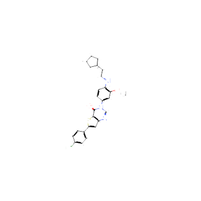 COc1cc(-n2cnc3cc(-c4ccc(Cl)cc4)sc3c2=O)ccc1NCCC1CCCC1